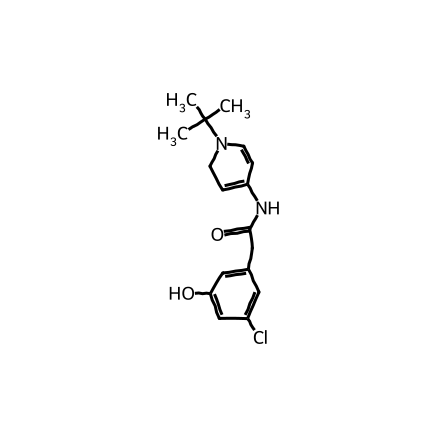 CC(C)(C)N1C=CC(NC(=O)Cc2cc(O)cc(Cl)c2)=CC1